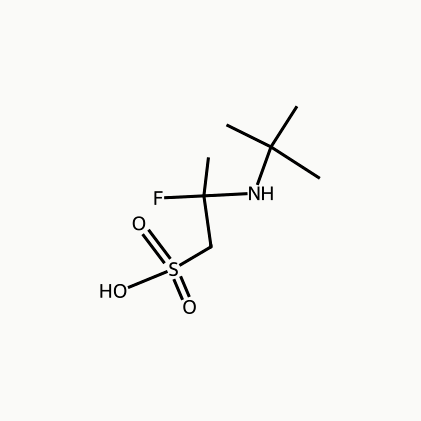 CC(C)(C)NC(C)(F)CS(=O)(=O)O